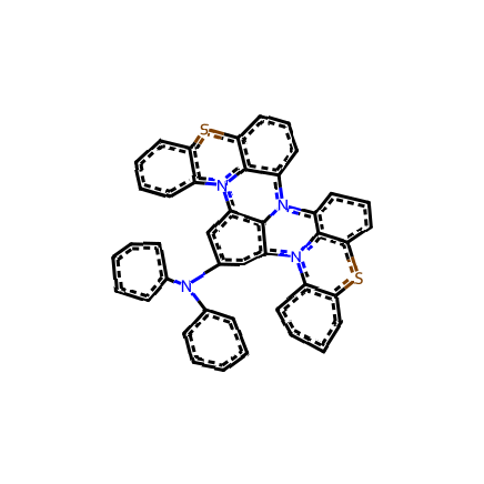 c1ccc(N(c2ccccc2)c2cc3c4c(c2)n2c5ccccc5sc5cccc(c52)n-4c2cccc4sc5ccccc5n3c42)cc1